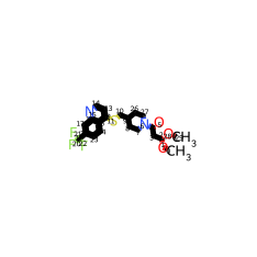 COC(CC(=O)N1CCC(CSc2ccnc3cc(C(F)(F)F)ccc23)CC1)OC